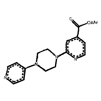 COC(=O)c1ccnc(N2CCN(c3ccncc3)CC2)c1